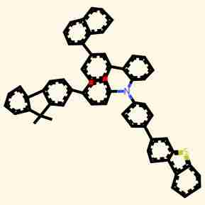 CC1(C)c2ccccc2-c2ccc(-c3ccc(N(c4ccc(-c5ccc6c(c5)sc5ccccc56)cc4)c4ccccc4-c4cccc(-c5cccc6ccccc56)c4)cc3)cc21